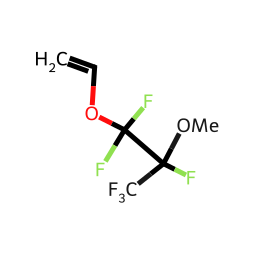 C=COC(F)(F)C(F)(OC)C(F)(F)F